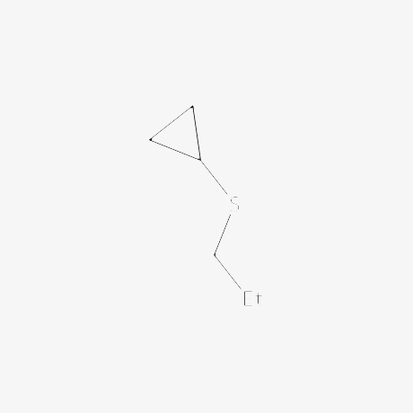 CCCSC1CC1